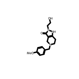 COc1ccc(CN2CCc3[nH]n(CCO)c(=O)c3C2)cc1